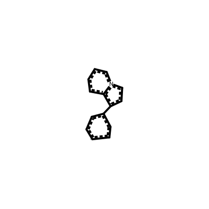 [c]1ccc(-c2ccn3ccccc23)cc1